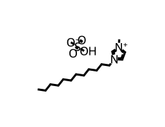 CCCCCCCCCCCCn1cc[n+](C)c1.O=S(=O)([O-])O